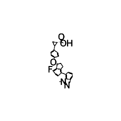 Cn1ncc2cccc(-c3ccc(F)c4c3CC[C@H]4Oc3ccc([C@H]4C[C@@H]4C(=O)O)cc3)c21